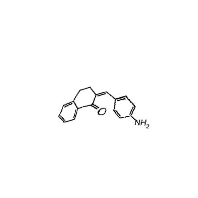 Nc1ccc(C=C2CCc3ccccc3C2=O)cc1